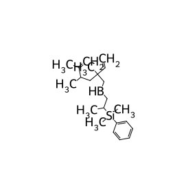 C=CC(C)(CBCC(C)[Si](C)(C)c1ccccc1)CC(C)C(=C)C